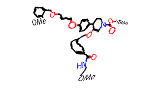 COCCNC(=O)c1cccc(COC2CN(C(=O)OC(C)(C)C)CCC2c2ccc(OCCCOCc3ccccc3OC)cc2)c1